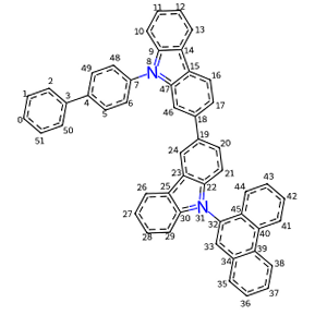 c1ccc(-c2ccc(-n3c4ccccc4c4ccc(-c5ccc6c(c5)c5ccccc5n6-c5cc6ccccc6c6ccccc56)cc43)cc2)cc1